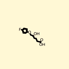 O=C(O)CCC[C@H](O)COc1ccc(F)cc1